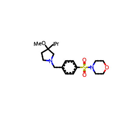 COC1(C(C)C)CCN(Cc2ccc(S(=O)(=O)N3CCOCC3)cc2)C1